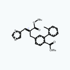 COC(=O)c1ccc(C/C(=C\c2cncs2)C(=O)OC(C)(C)C)cc1-c1ccccc1C